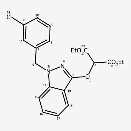 CCOC(=O)C(Oc1nn(Cc2cccc(Cl)c2)c2ccccc12)C(=O)OCC